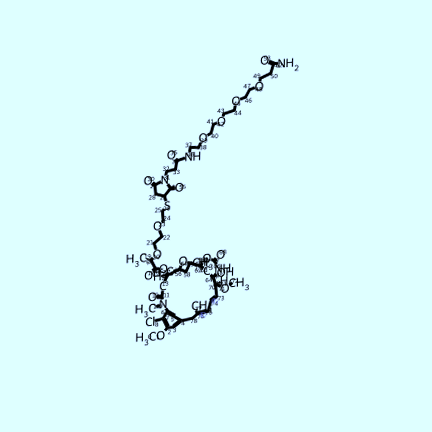 COc1cc2cc(c1Cl)N(C)C(=O)C[C@H](OC(=O)[C@H](C)OCCOCCSC1CC(=O)N(CCC(=O)NCCOCCOCCOCCOCCC(N)=O)C1=O)[C@@]1(C)CC(C)(O1)[C@@H]1C[C@@](O)(NC(=O)O1)[C@H](OC)/C=C/C=C(\C)C2